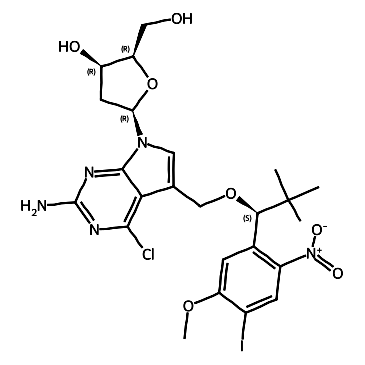 COc1cc([C@@H](OCc2cn([C@H]3C[C@@H](O)[C@@H](CO)O3)c3nc(N)nc(Cl)c23)C(C)(C)C)c([N+](=O)[O-])cc1I